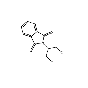 [CH2]CC(CCl)N1C(=O)c2ccccc2C1=O